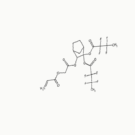 C=CC(=O)OCC(=O)OC1C2CCC(C2)C1(OC(=O)C(F)(F)C(C)(F)F)OC(=O)C(F)(F)C(C)(F)F